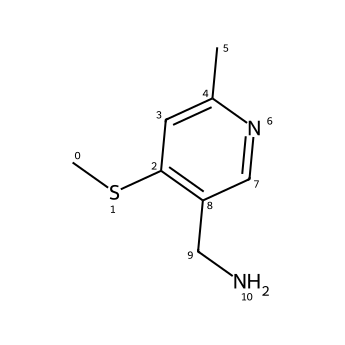 CSc1cc(C)ncc1CN